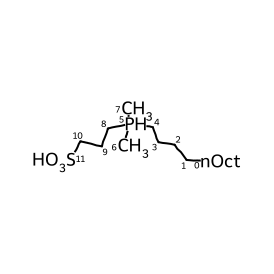 CCCCCCCCCCCC[PH](C)(C)CCCS(=O)(=O)O